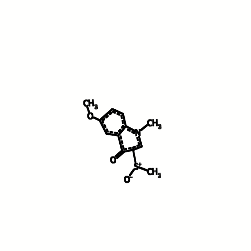 COc1ccc2c(c1)c(=O)c([S+](C)[O-])cn2C